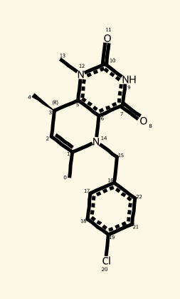 CC1=C[C@@H](C)c2c(c(=O)[nH]c(=O)n2C)N1Cc1ccc(Cl)cc1